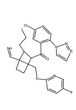 N=CC12CCC1(COc1ccc(F)cn1)N(C(=O)c1cc(Cl)ccc1-n1ccnn1)C2CCI